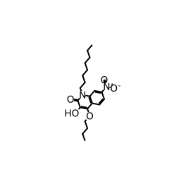 CCCCCCCCn1c(=O)c(O)c(OCCCC)c2ccc([N+](=O)[O-])cc21